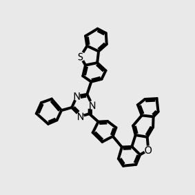 c1ccc(-c2nc(-c3ccc(-c4cccc5oc6cc7ccccc7cc6c45)cc3)nc(-c3ccc4c(c3)sc3ccccc34)n2)cc1